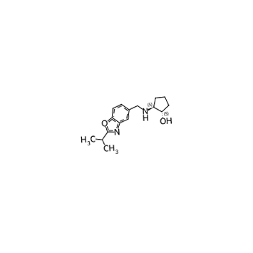 CC(C)c1nc2cc(CN[C@H]3CCC[C@@H]3O)ccc2o1